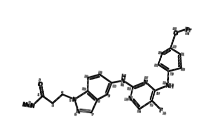 CNC(=O)CCn1ncc2cc(Nc3ncc(F)c(Nc4ccc(OC(C)C)cc4)n3)ccc21